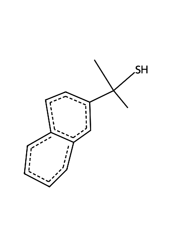 CC(C)(S)c1ccc2ccccc2c1